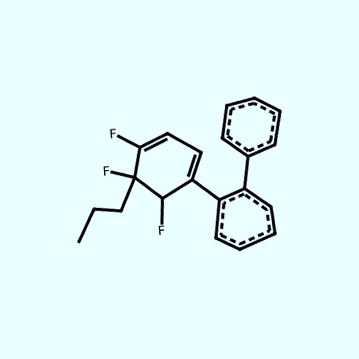 CCCC1(F)C(F)=CC=C(c2ccccc2-c2ccccc2)C1F